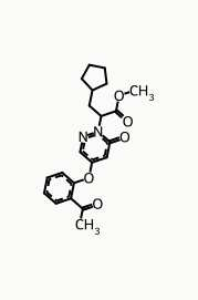 COC(=O)C(CC1CCCC1)n1ncc(Oc2ccccc2C(C)=O)cc1=O